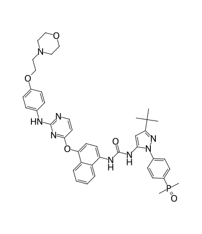 CC(C)(C)c1cc(NC(=O)Nc2ccc(Oc3ccnc(Nc4ccc(OCCN5CCOCC5)cc4)n3)c3ccccc23)n(-c2ccc(P(C)(C)=O)cc2)n1